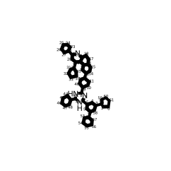 C1=CC(c2cc(C3=NC(c4ccc(-c5ccc6ccc7nc(-c8ccccc8)cc(-c8ccccc8)c7c6c5)cc4)NC(c4ccccc4)N3)cc(-c3ccccc3)c2)=CCC1